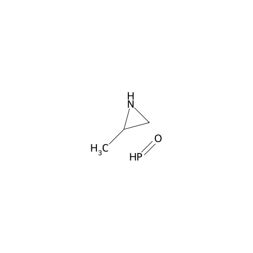 CC1CN1.O=P